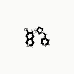 Clc1cc2cnccc2cc1S[C@H]1CCN(Cc2ccncc2)C1